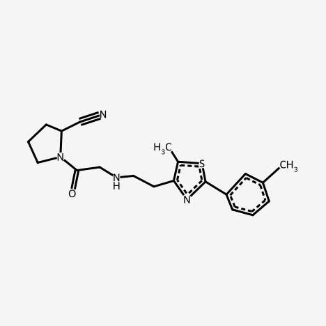 Cc1cccc(-c2nc(CCNCC(=O)N3CCCC3C#N)c(C)s2)c1